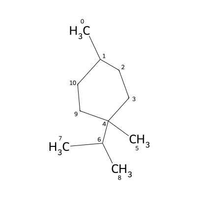 CC1CCC(C)(C(C)C)CC1